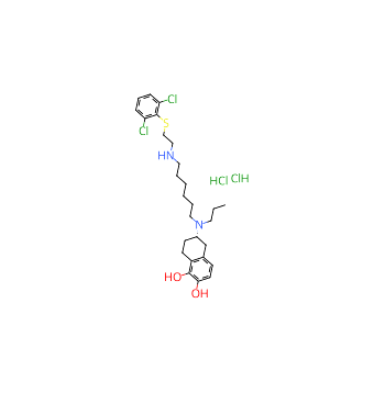 CCCN(CCCCCCNCCSc1c(Cl)cccc1Cl)[C@H]1CCc2c(ccc(O)c2O)C1.Cl.Cl